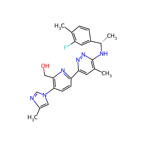 Cc1cn(-c2ccc(-c3cc(C)c(N[C@@H](C)c4ccc(C)c(F)c4)nn3)nc2CO)cn1